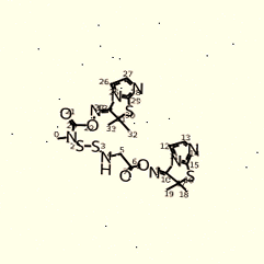 CN(SSNCC(=O)ON=C1n2ccnc2SC1(C)C)C(=O)ON=C1n2ccnc2SC1(C)C